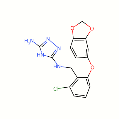 Nc1nnc(NCc2c(Cl)cccc2Oc2ccc3c(c2)OCO3)[nH]1